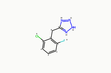 Fc1cccc(Cl)c1Cc1nn[nH]n1